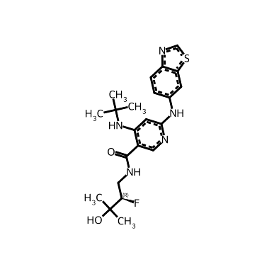 CC(C)(C)Nc1cc(Nc2ccc3ncsc3c2)ncc1C(=O)NC[C@@H](F)C(C)(C)O